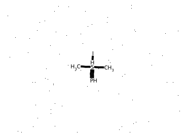 C[SH](C)(=P)I